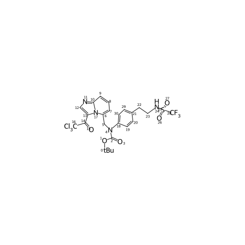 CC(C)(C)OC(=O)N(Cc1cccc2ncc(C(=O)C(Cl)(Cl)Cl)n12)c1ccc(CCNS(=O)(=O)C(F)(F)F)cc1